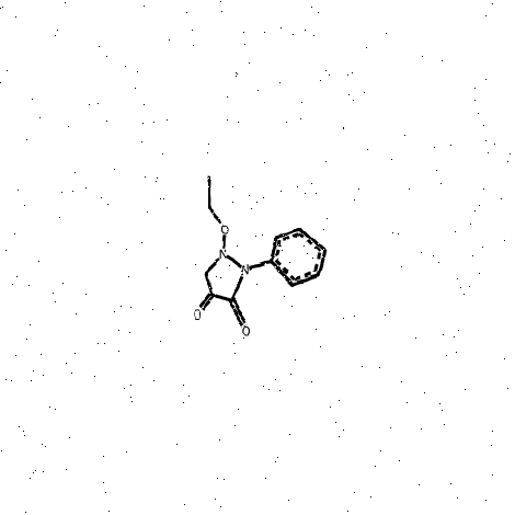 CCON1CC(=O)C(=O)N1c1ccccc1